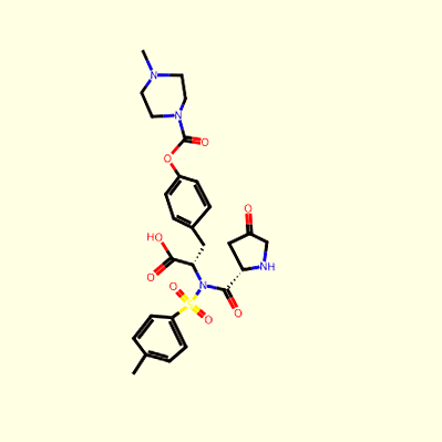 Cc1ccc(S(=O)(=O)N(C(=O)[C@@H]2CC(=O)CN2)[C@@H](Cc2ccc(OC(=O)N3CCN(C)CC3)cc2)C(=O)O)cc1